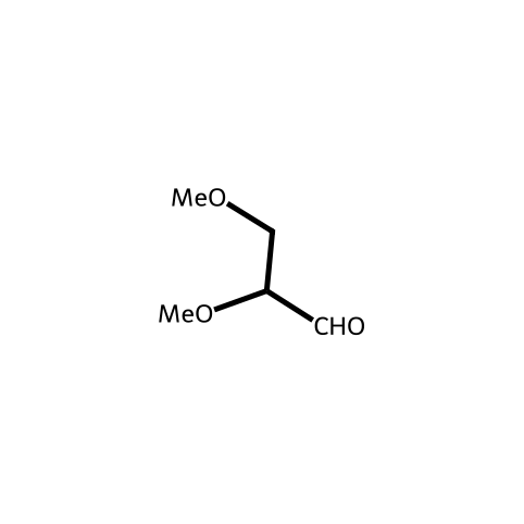 COCC(C=O)OC